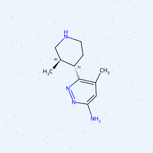 Cc1cc(N)nnc1[C@H]1CCNC[C@@H]1C